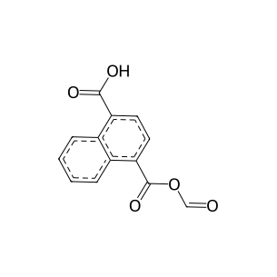 O=COC(=O)c1ccc(C(=O)O)c2ccccc12